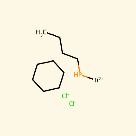 C1CCCCC1.CCCC[PH][Ti+2].[Cl-].[Cl-]